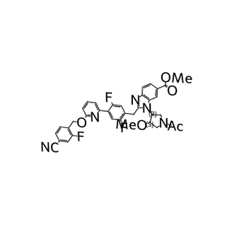 COC(=O)c1ccc2nc(Cc3cc(F)c(-c4cccc(OCc5ccc(C#N)cc5F)n4)cc3F)n([C@@H]3CN(C(C)=O)C[C@@H]3OC)c2c1